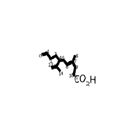 C=CCCC(CC=C(C)CCC(=O)O)C(=C)C